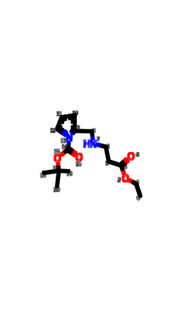 CCOC(=O)CCNCc1cccn1C(=O)OC(C)(C)C